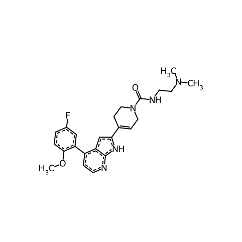 COc1ccc(F)cc1-c1ccnc2[nH]c(C3=CCN(C(=O)NCCN(C)C)CC3)cc12